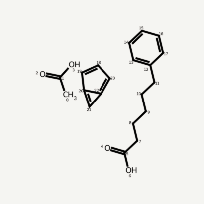 CC(=O)O.O=C(O)CCCCCc1ccccc1.c1cc2cc-2c1